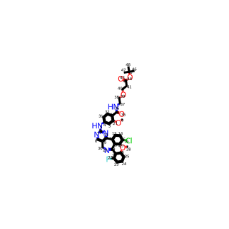 COc1cc(Nc2ncc3c(n2)-c2ccc(Cl)cc2C(c2c(F)cccc2OC)=NC3)ccc1C(=O)NCCOCCC(=O)OC(C)(C)C